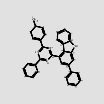 CC1C=CC(c2nc(-c3ccccc3)nc(-c3cc(-c4ccccc4)cc4oc5ccccc5c34)n2)=CC1